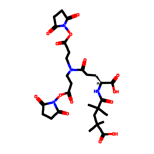 CC(C)(CC(C)(C)C(=O)N[C@H](CCC(=O)N(CCC(=O)ON1C(=O)CCC1=O)CCC(=O)ON1C(=O)CCC1=O)C(=O)O)C(=O)O